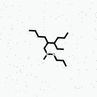 CCCCC(CN(C)OCCC)C(CC)CCC